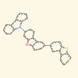 c1ccc2c(c1)sc1ccc(-c3ccc4oc5cc(-n6c7ccccc7c7ccccc76)ccc5c4c3)cc12